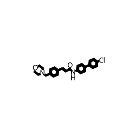 O=C(/C=C/c1ccc(CN2CCOCC2)cc1)Nc1ccc(-c2ccc(Cl)cc2)cc1